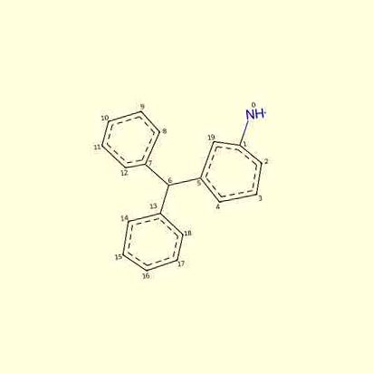 [NH]c1cccc(C(c2ccccc2)c2ccccc2)c1